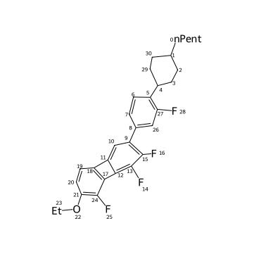 CCCCCC1CCC(c2ccc(-c3cc4c(c(F)c3F)-c3c-4ccc(OCC)c3F)cc2F)CC1